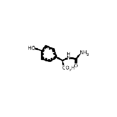 NC(=O)N[C@@H](C(=O)O)c1ccc(O)cc1